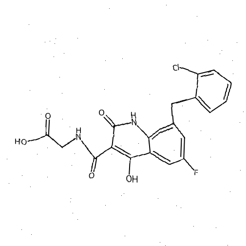 O=C(O)CNC(=O)c1c(O)c2cc(F)cc(Cc3ccccc3Cl)c2[nH]c1=O